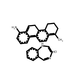 C1=CNc2ccccc2C=N1.CC1=c2ccc3c(c2CCC1)CC=c1c(N)cccc1=3.Cl